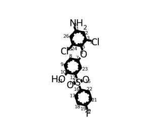 Nc1cc(Cl)c(Oc2ccc(O)c(S(=O)(=O)c3ccc(F)cc3)c2)c(Cl)c1